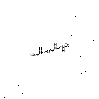 CCNCCNCCOCCNCC(C)(C)C